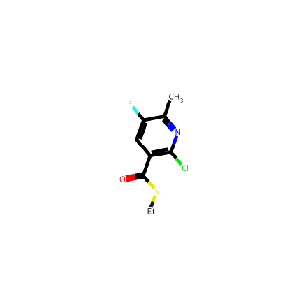 CCSC(=O)c1cc(F)c(C)nc1Cl